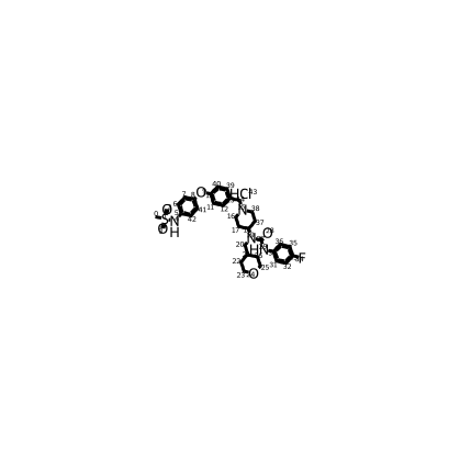 CS(=O)(=O)Nc1ccc(Oc2ccc(CN3CCC(N(CC4CCOCC4)C(=O)Nc4ccc(F)cc4)CC3)cc2)cc1.Cl